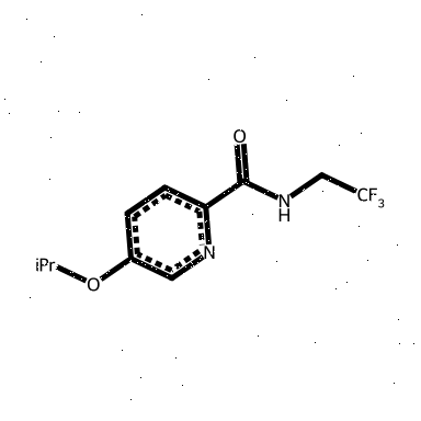 CC(C)Oc1ccc(C(=O)NCC(F)(F)F)nc1